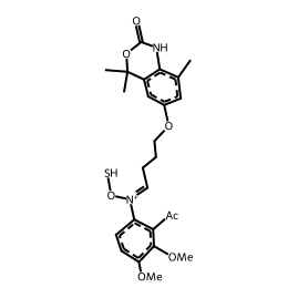 COc1ccc([N+](=CCCCOc2cc(C)c3c(c2)C(C)(C)OC(=O)N3)OS)c(C(C)=O)c1OC